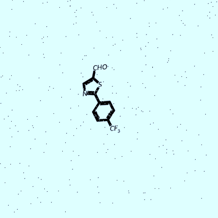 O=[C]c1cnc(-c2ccc(C(F)(F)F)cc2)s1